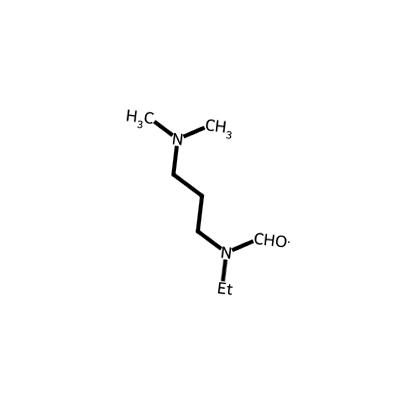 CCN([C]=O)CCCN(C)C